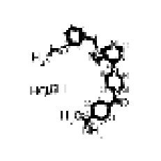 CCOc1cccc(Cn2ncc3c(N4CCN(C(=O)C5CCC(C(C)N)CC5)CC4)ncnc32)c1.Cl.Cl